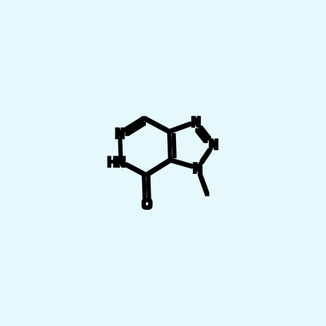 Cn1nnc2cn[nH]c(=O)c21